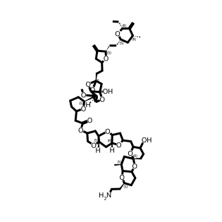 C=C1CC(CC[C@@]23C[C@@]4(O)OC(C([C@@H]5CCCC(CC(=O)OC6CO[C@H]7C[C@H]8OC(CC9O[C@@]%10(CCC9O)C[C@H](C)C9O[C@H](CCN)CCC9O%10)CC8OC7C6)O5)O2)[C@@H](OC)C4O3)O[C@H]1CC[C@H]1C[C@@H](C)C(=C)[C@@H](CC)O1